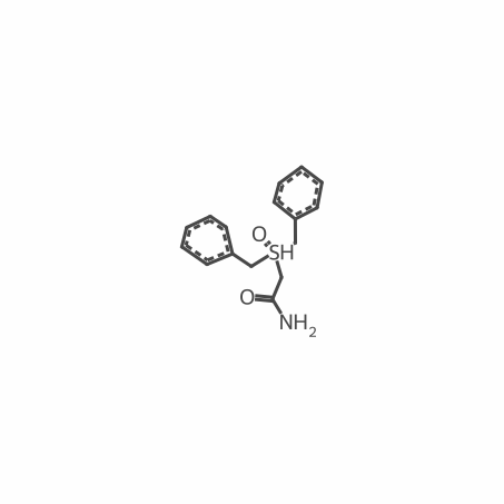 NC(=O)C[SH](=O)(Cc1ccccc1)Cc1ccccc1